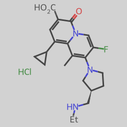 CCNC[C@@H]1CCN(c2c(F)cn3c(=O)c(C(=O)O)cc(C4CC4)c3c2C)C1.Cl